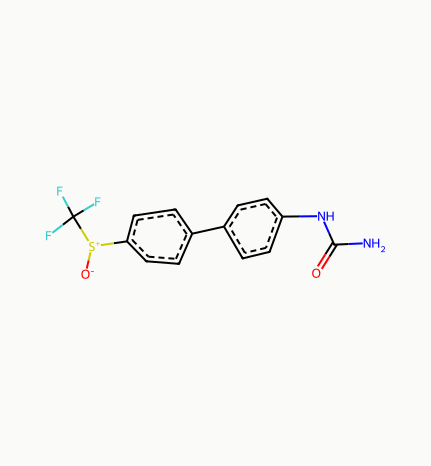 NC(=O)Nc1ccc(-c2ccc([S+]([O-])C(F)(F)F)cc2)cc1